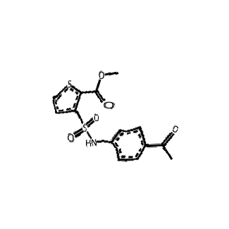 COC(=O)c1sccc1S(=O)(=O)Nc1ccc(C(C)=O)cc1